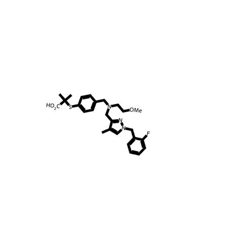 COCCN(Cc1ccc(SC(C)(C)C(=O)O)cc1)Cc1nn(Cc2ccccc2F)cc1C